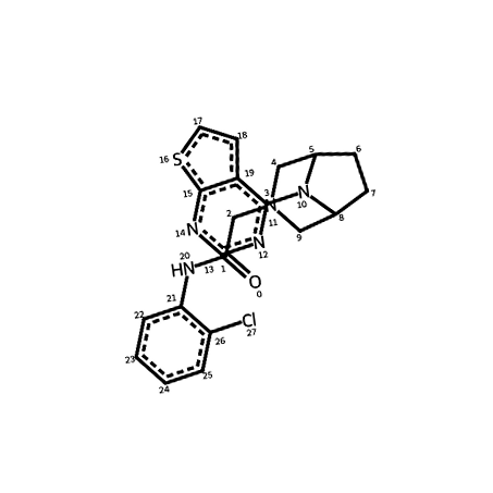 O=C(CN1CC2CCC(C1)N2c1ncnc2sccc12)Nc1ccccc1Cl